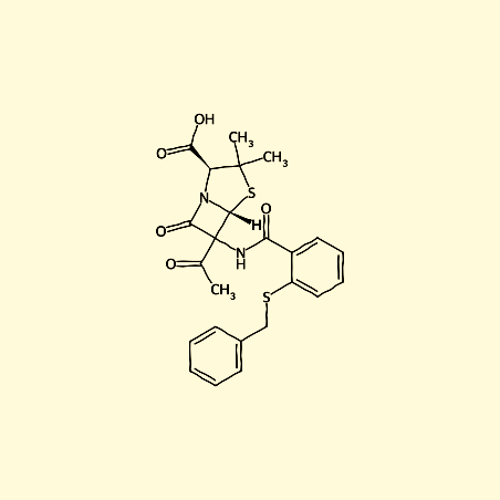 CC(=O)C1(NC(=O)c2ccccc2SCc2ccccc2)C(=O)N2[C@@H](C(=O)O)C(C)(C)S[C@@H]21